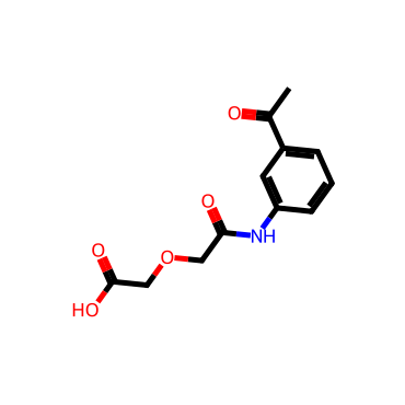 CC(=O)c1cccc(NC(=O)COCC(=O)O)c1